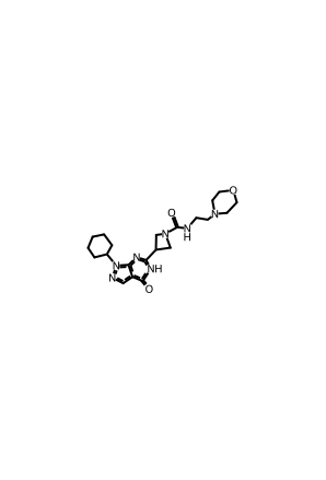 O=C(NCCN1CCOCC1)N1CC(c2nc3c(cnn3C3CCCCC3)c(=O)[nH]2)C1